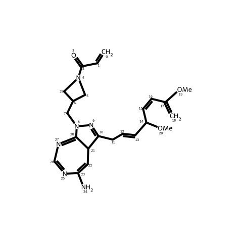 C=CC(=O)N1CC(CN2N=C(CC=CC(/C=C\C(=C)OC)OC)C3C=C(N)N=CN=C32)C1